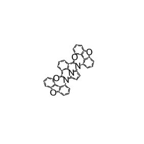 O=c1c2cccc3c(=O)n(-c4cccc5oc6ccccc6c45)c4ccc(n1-c1cccc5oc6ccccc6c15)n4c23